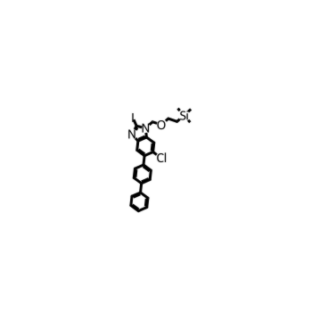 C[Si](C)(C)CCOCn1c(I)nc2cc(-c3ccc(-c4ccccc4)cc3)c(Cl)cc21